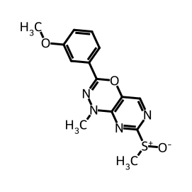 COc1cccc(C2=NN(C)c3nc([S+](C)[O-])ncc3O2)c1